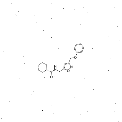 O=C(NCc1cc(COc2ccccc2)no1)C1CCCCC1